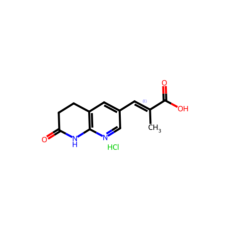 C/C(=C\c1cnc2c(c1)CCC(=O)N2)C(=O)O.Cl